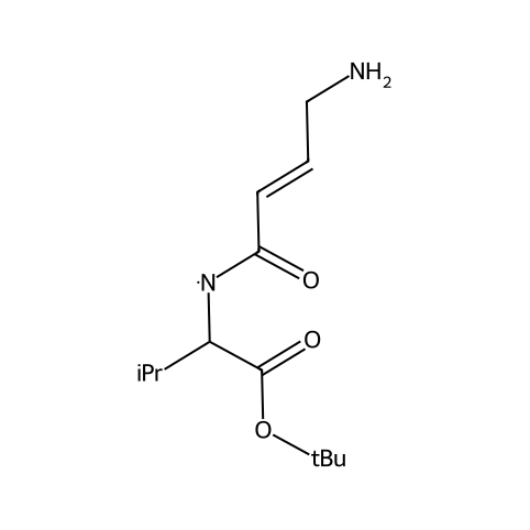 CC(C)C([N]C(=O)C=CCN)C(=O)OC(C)(C)C